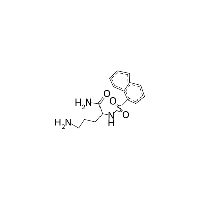 NCCCC(NS(=O)(=O)c1cccc2ccccc12)C(N)=O